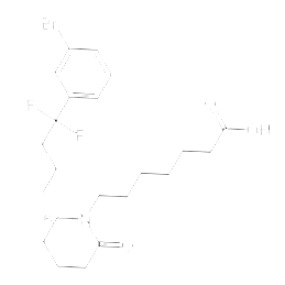 O=C(O)CCCCCCN1C(=O)CCC[C@@H]1CCCC(F)(F)c1cccc(Br)c1